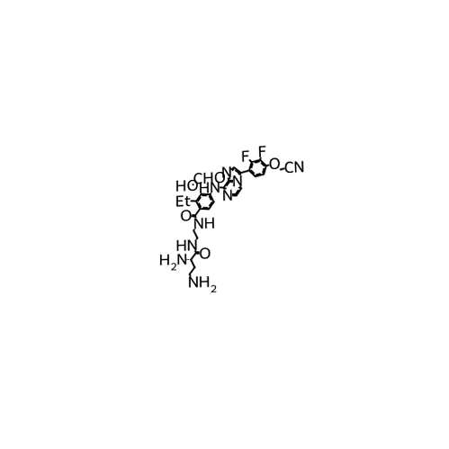 CCc1cc(Nc2nccn3c(-c4ccc(OCC#N)c(F)c4F)cnc23)ccc1C(=O)NCCNC(=O)[C@@H](N)CCN.O=CO